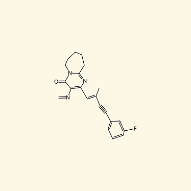 C=Nc1c(/C=C(\C)C#Cc2cccc(F)c2)nc2n(c1=O)CCCCC2